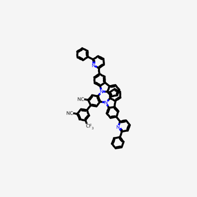 N#Cc1cc(-c2cc(-n3c4ccccc4c4cc(-c5cccc(-c6ccccc6)n5)ccc43)c(-n3c4ccccc4c4cc(-c5cccc(-c6ccccc6)n5)ccc43)cc2C#N)cc(C(F)(F)F)c1